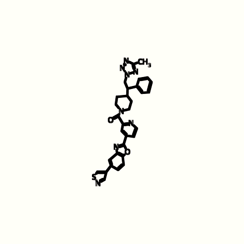 Cc1nnn(CC(c2ccccc2)C2CCN(C(=O)c3cc(-c4nc5cc(-c6cnsc6)ccc5o4)ccn3)CC2)n1